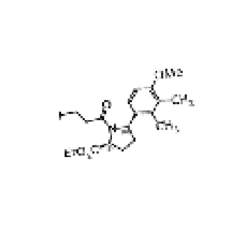 CCOC(=O)[C@@H]1CC[C@H](c2ccc(OC)c(C)c2C)N1C(=O)CCI